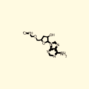 Nc1ncnc2c1ncn2C1OC(COC[PH]=O)CC1O